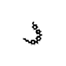 CCCCCC1CCC(C(C)C2CCC(C(C)c3ccc([C@H]4CC[C@H](CC)CC4)cc3)CC2)CC1